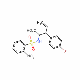 C=CC(c1ccc(Br)cc1)C(NS(=O)(=O)c1ccccc1[N+](=O)[O-])C(=O)O